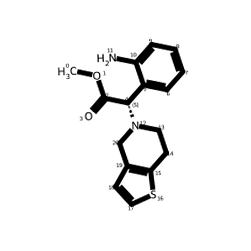 COC(=O)[C@H](c1ccccc1N)N1CCc2sccc2C1